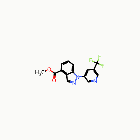 COC(=O)c1cccc2c1cnn2-c1cncc(C(F)(F)F)c1